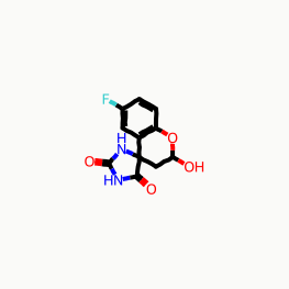 O=C1NC(=O)C2(CC(O)Oc3ccc(F)cc32)N1